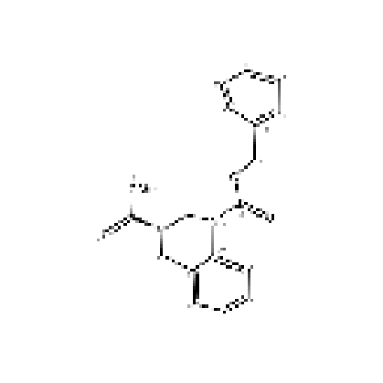 COC(=O)[C@@H]1Cc2ccccc2N(C(=O)OCc2ccccc2)C1